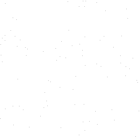 CCOc1c(Cl)ccc(CC)c1Cl